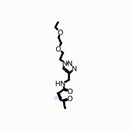 CCOCCOCCn1cc(CNC(=O)/C=C\C(C)=O)nn1